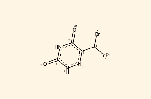 CCCC(Br)c1n[nH]c(=O)[nH]c1=O